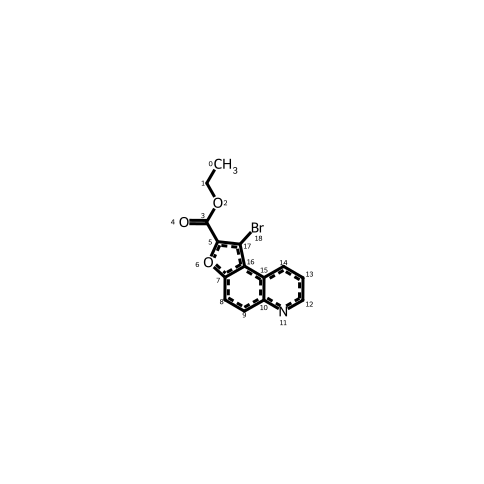 CCOC(=O)c1oc2ccc3ncccc3c2c1Br